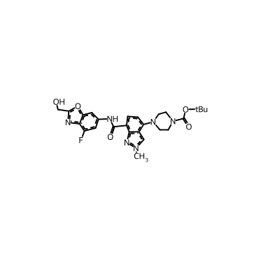 Cn1cc2c(N3CCN(C(=O)OC(C)(C)C)CC3)ccc(C(=O)Nc3cc(F)c4nc(CO)oc4c3)c2n1